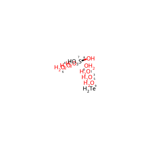 O.O.O.O.O.O.O.O=S(=O)(O)O.[TeH2]